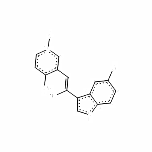 COc1cc[n+]([O-])cc1C=C(C#N)c1c[nH]c2ccc(Cl)cc12